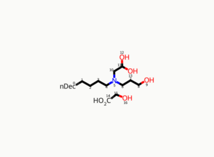 CCCCCCCCCCCCCCN(CCCO)CC(O)O.O=C(O)CO